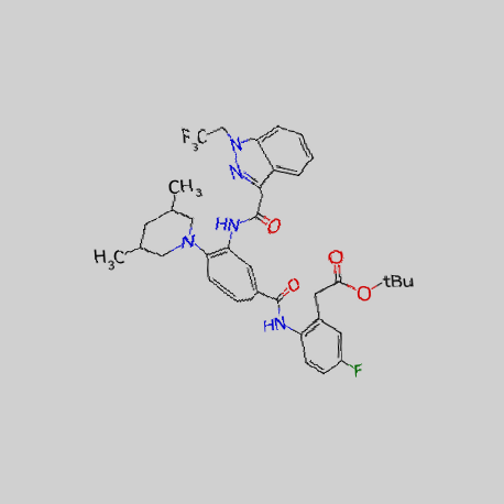 CC1CC(C)CN(c2ccc(C(=O)Nc3ccc(F)cc3CC(=O)OC(C)(C)C)cc2NC(=O)c2nn(CC(F)(F)F)c3ccccc23)C1